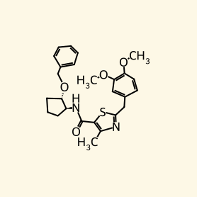 COc1ccc(Cc2nc(C)c(C(=O)N[C@H]3CCC[C@@H]3OCc3ccccc3)s2)cc1OC